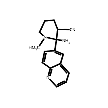 N#CC1CCCN(C(=O)O)C1(N)c1ccc2ncccc2c1